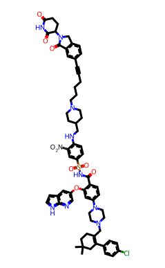 CC1(C)CCC(CN2CCN(c3ccc(C(=O)NS(=O)(=O)c4ccc(NCC5CCN(CCCCC#Cc6ccc7c(c6)C(=O)N(C6CCC(=O)NC6=O)C7)CC5)c([N+](=O)[O-])c4)c(Oc4cnc5[nH]ccc5c4)c3)CC2)=C(c2ccc(Cl)cc2)C1